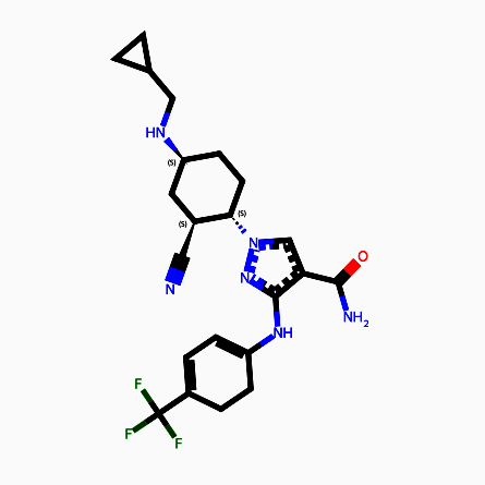 N#C[C@H]1C[C@@H](NCC2CC2)CC[C@@H]1n1cc(C(N)=O)c(NC2=CC=C(C(F)(F)F)CC2)n1